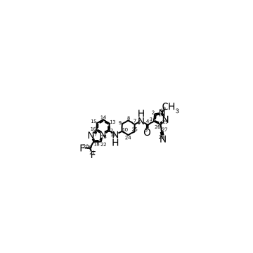 Cn1cc(C(=O)NC2CCC(Nc3cccc4nc(C(F)F)cn34)CC2)c(C#N)n1